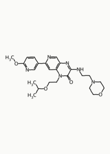 COc1ccc(-c2cc3c(cn2)nc(NCCN2CCOCC2)c(=O)n3CCOC(C)C)cn1